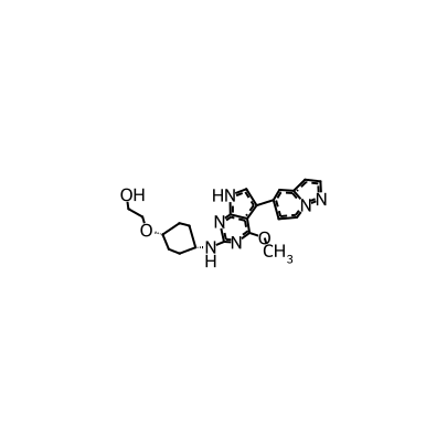 COc1nc(N[C@H]2CC[C@@H](OCCO)CC2)nc2[nH]cc(-c3ccn4nccc4c3)c12